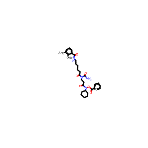 CC(=O)Oc1cccc(C(=O)NCCCCCC(=O)N(CCC(=O)N(OC(=O)c2ccccc2)C2CCCCC2)C(N)=O)c1OC(C)=O